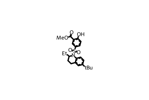 CCC1CCc2cc(C(C)(C)C)ccc2N1S(=O)(=O)c1ccc(O)c(C(=O)OC)c1